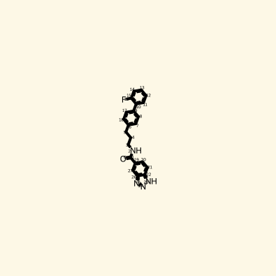 O=C(NCCCc1ccc(-c2ccccc2F)cc1)c1ccc2[nH]nnc2c1